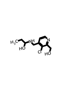 CCC(O)NCc1ccnc(CO)c1Cl